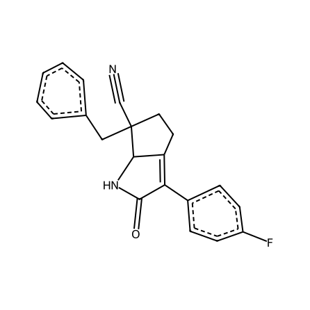 N#CC1(Cc2ccccc2)CCC2=C(c3ccc(F)cc3)C(=O)NC21